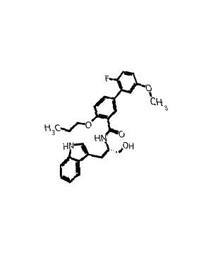 CCCOc1ccc(-c2cc(OC)ccc2F)cc1C(=O)N[C@H](CO)Cc1c[nH]c2ccccc12